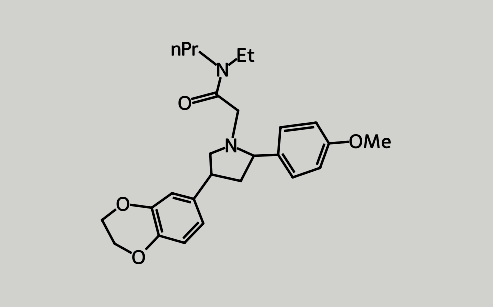 CCCN(CC)C(=O)CN1CC(c2ccc3c(c2)OCCO3)CC1c1ccc(OC)cc1